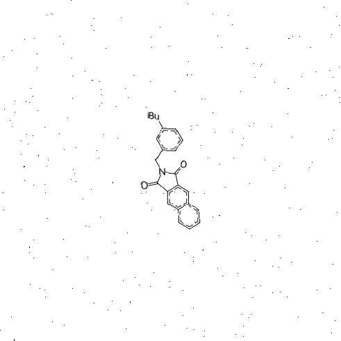 CCC(C)c1cccc(CN2C(=O)c3cc4ccccc4cc3C2=O)c1